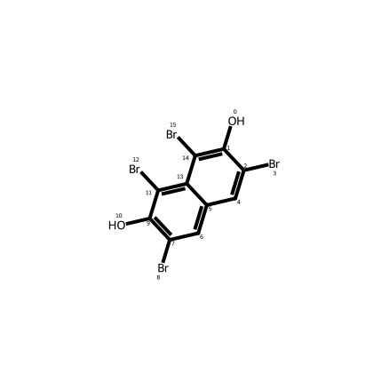 Oc1c(Br)cc2cc(Br)c(O)c(Br)c2c1Br